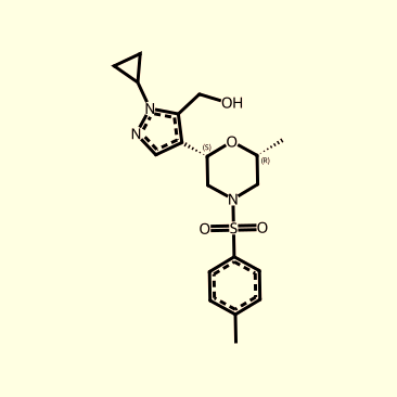 Cc1ccc(S(=O)(=O)N2C[C@@H](C)O[C@@H](c3cnn(C4CC4)c3CO)C2)cc1